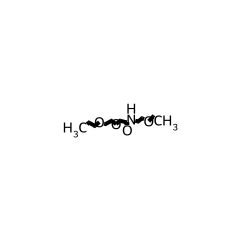 CCCOCCOCC(=O)NCCOCC